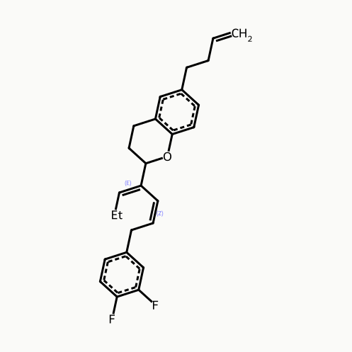 C=CCCc1ccc2c(c1)CCC(C(/C=C\Cc1ccc(F)c(F)c1)=C/CC)O2